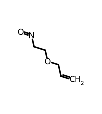 C=CCOCCN=O